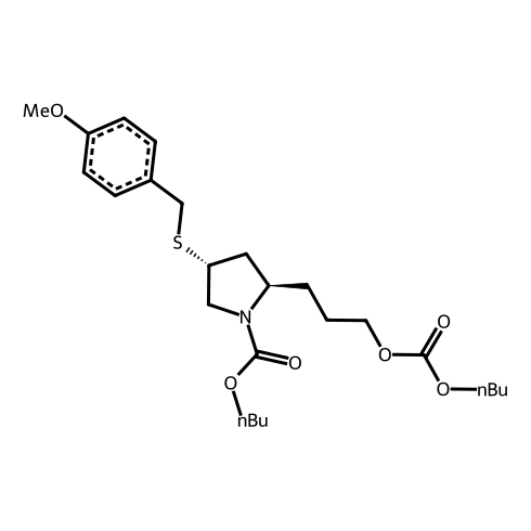 CCCCOC(=O)OCCC[C@@H]1C[C@@H](SCc2ccc(OC)cc2)CN1C(=O)OCCCC